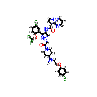 C=C/C(C(=O)Nc1cn(CC(=O)N2CCC(N(C)CCOc3ccc(Br)cc3)CC2)nc1-c1cc(Cl)ccc1OC(F)F)=C1/N=CC=CN1